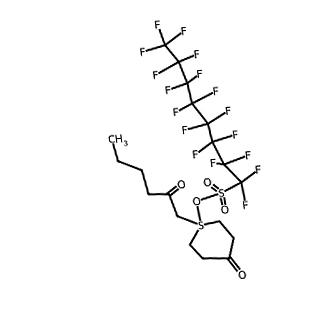 CCCCC(=O)CS1(OS(=O)(=O)C(F)(F)C(F)(F)C(F)(F)C(F)(F)C(F)(F)C(F)(F)C(F)(F)C(F)(F)F)CCC(=O)CC1